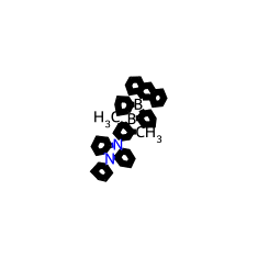 Cc1cc(N2c3ccccc3N(c3ccccc3)c3ccccc32)cc(C)c1B1c2ccccc2B(c2c3ccccc3cc3ccccc23)c2ccccc21